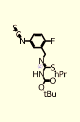 CCCS/C(=N\Cc1cc(N=C=S)ccc1F)NC(=O)OC(C)(C)C